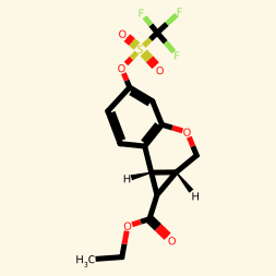 CCOC(=O)C1[C@H]2COc3cc(OS(=O)(=O)C(F)(F)F)ccc3[C@@H]12